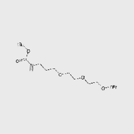 [CH2]CCOCCOCCOCCCNC(=O)OC(C)(C)C